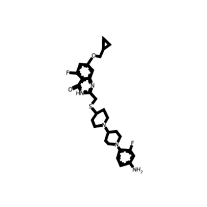 Nc1ccc(N2CCC(N3CCC(SCc4nc5cc(OCC6CC6)cc(F)c5c(=O)[nH]4)CC3)CC2)c(F)c1